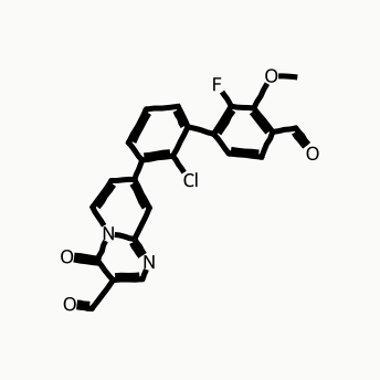 COc1c(C=O)ccc(-c2cccc(-c3ccn4c(=O)c(C=O)cnc4c3)c2Cl)c1F